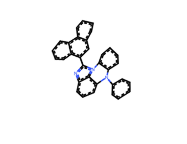 c1ccc(N2c3ccccc3-n3c(-c4cc5ccccc5c5ccccc45)nc4cccc2c43)cc1